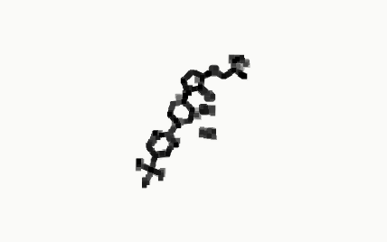 C[C@H](N)CO[C@@H]1CCN([C@@H]2CCN(c3ncc(C(F)(F)F)cn3)C[C@H]2O)C1=O.Cl